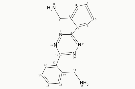 NCc1ccccc1-c1nnc(-c2ccccc2CN)nn1